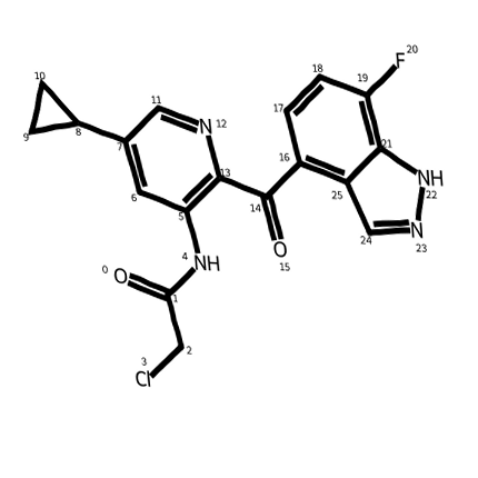 O=C(CCl)Nc1cc(C2CC2)cnc1C(=O)c1ccc(F)c2[nH]ncc12